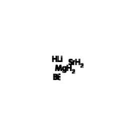 [Bi].[LiH].[MgH2].[SrH2]